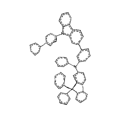 c1ccc(-c2ccc(-n3c4ccccc4c4ccc(-c5cccc(N(c6ccccc6)c6ccc7c(c6)C(c6ccccc6)(c6ccccc6)c6ccccc6-7)c5)cc43)cc2)cc1